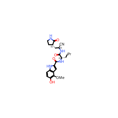 COc1c(O)ccc2[nH]c(C(=O)N[C@@H](CC(C)C)C(=O)N[C@H](C#N)C[C@@H]3CCNC3=O)cc12